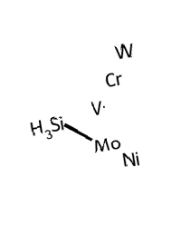 [Cr].[Ni].[SiH3][Mo].[V].[W]